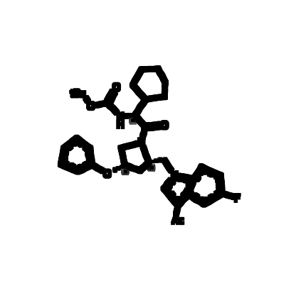 CC(=O)c1cn(C[C@@H]2C[C@H](Oc3ccccc3)CN2C(=O)[C@@H](NC(=O)OC(C)(C)C)C2CCCCC2)c2ccc(F)cc12